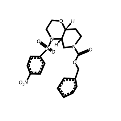 O=C(OCc1ccccc1)N1CC[C@H]2OCCN(S(=O)(=O)c3ccc([N+](=O)[O-])cc3)[C@H]2C1